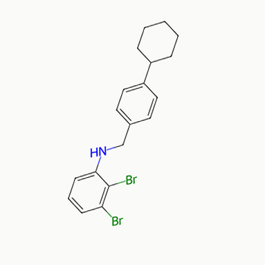 Brc1cccc(NCc2ccc(C3CCCCC3)cc2)c1Br